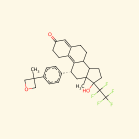 CC1(c2ccc([C@H]3CC4(C)C(CCC4(O)C(F)(F)C(F)(F)F)C4CCC5=CC(=O)CCC5=C43)cc2)COC1